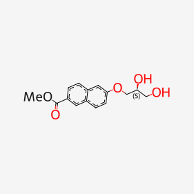 COC(=O)c1ccc2cc(OC[C@@H](O)CO)ccc2c1